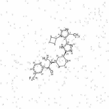 Cc1ncn(C2CCC2)c1-c1nnc([C@@H]2C[C@H](N(C)C(=O)c3cccc(C(F)(F)F)c3)CCO2)[nH]1